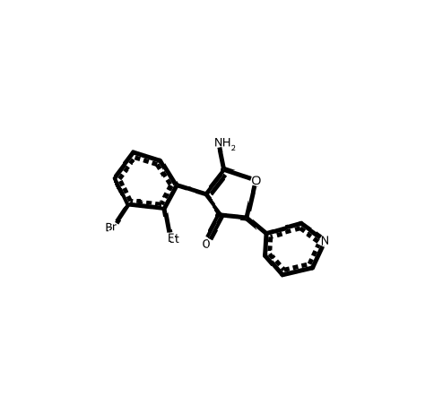 CCc1c(Br)cccc1C1=C(N)OC(c2cccnc2)C1=O